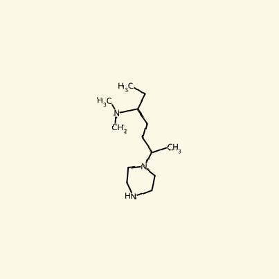 CCC(CCC(C)N1CCNCC1)N(C)C